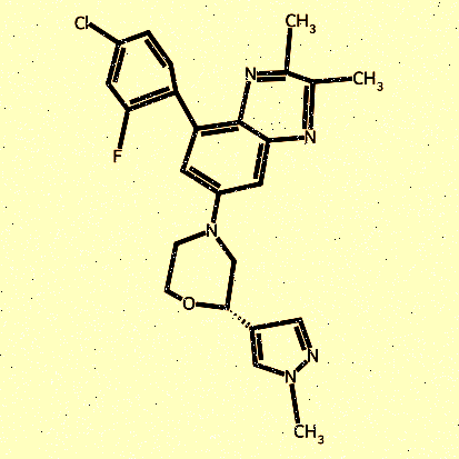 Cc1nc2cc(N3CCO[C@@H](c4cnn(C)c4)C3)cc(-c3ccc(Cl)cc3F)c2nc1C